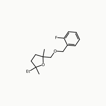 CCC1(C)CCC(C)(COCc2ccccc2F)O1